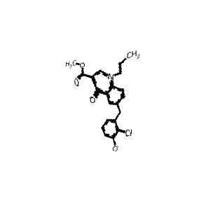 CCCn1cc(C(=O)OC)c(=O)c2cc(Cc3cccc(Cl)c3Cl)ccc21